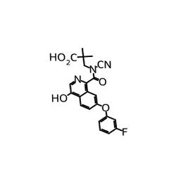 CC(C)(CN(C#N)C(=O)c1ncc(O)c2ccc(Oc3cccc(F)c3)cc12)C(=O)O